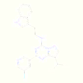 CC(C)c1cnn2c(NCCc3c[nH]c4ccccc34)nc(-c3cncc(F)c3)nc12